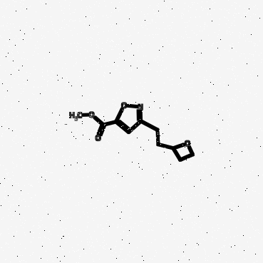 COC(=O)c1cc(CCC2CCO2)no1